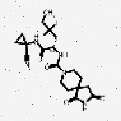 CCC(F)(F)C[C@H](NC(=O)N1CCC2(CC1)CC(=O)NC2=O)C(=O)NC1(C#N)CC1